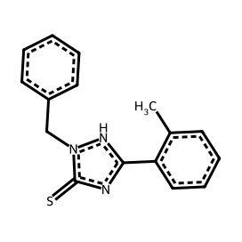 Cc1ccccc1-c1nc(=S)n(Cc2ccccc2)[nH]1